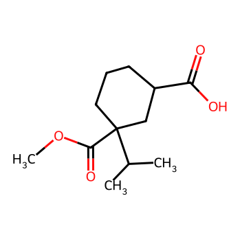 COC(=O)C1(C(C)C)CCCC(C(=O)O)C1